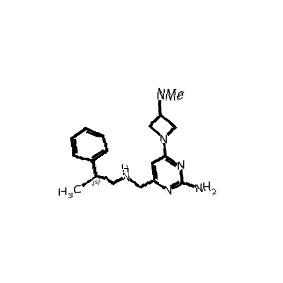 CNC1CN(c2cc(CNC[C@@H](C)c3ccccc3)nc(N)n2)C1